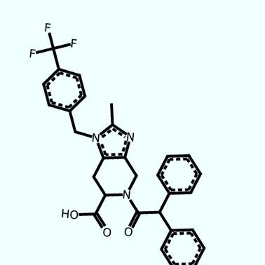 Cc1nc2c(n1Cc1ccc(C(F)(F)F)cc1)CC(C(=O)O)N(C(=O)C(c1ccccc1)c1ccccc1)C2